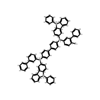 Fc1ccc(N(c2ccc(-c3ccc(N(c4cccc(-c5ccccc5)c4)c4ccc5c(c4)c4ccccc4n5-c4ccccc4)cc3)cc2)c2ccc3c(c2)c2ccccc2n3-c2ccccc2)cc1-c1ccccc1